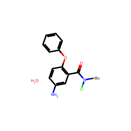 CCCCN(Cl)C(=O)c1cc(N)ccc1Oc1ccccc1.O